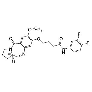 COc1cc2c(cc1OCCCC(=O)Nc1ccc(F)c(F)c1)N=C[C@@H]1CCCN1C2=O